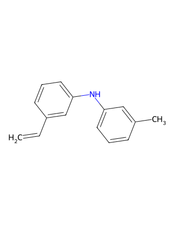 C=Cc1cccc(Nc2cccc(C)c2)c1